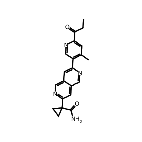 CCC(=O)c1cc(C)c(-c2cc3cnc(C4(C(N)=O)CC4)cc3cn2)cn1